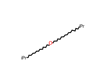 CC(C)CCCCCCCCCCCCCCCOCCCCCCCCCCCCCC(C)C